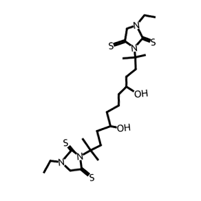 CCN1CC(=S)N(C(C)(C)CCC(O)CCCC(O)CCC(C)(C)N2C(=S)CN(CC)C2=S)C1=S